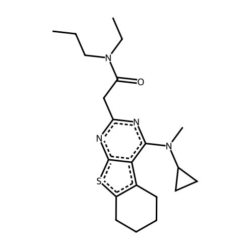 CCCN(CC)C(=O)Cc1nc(N(C)C2CC2)c2c3c(sc2n1)CCCC3